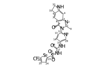 Cc1nc2cc3c(cc2c(=O)n1-c1ccc(NC(=O)NS(=O)(=O)c2ccc(Cl)s2)cn1)CCN3